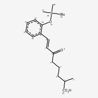 CC(CCCC(=O)C=Cc1ccccc1O[Si](C)(C)C(C)(C)C)C(=O)O